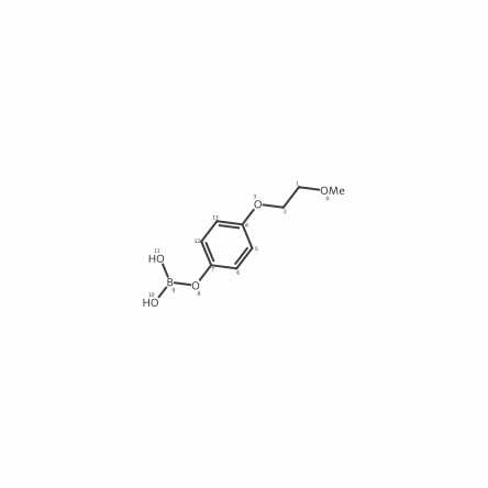 COCCOc1ccc(OB(O)O)cc1